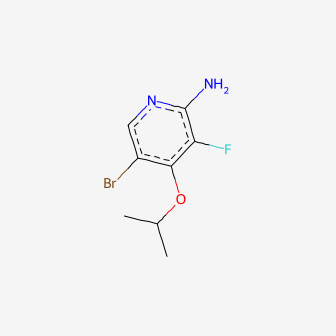 CC(C)Oc1c(Br)cnc(N)c1F